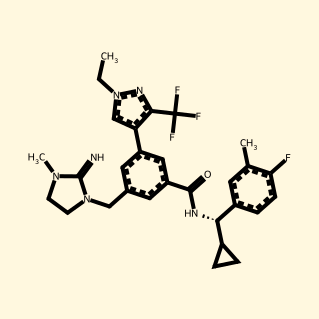 CCn1cc(-c2cc(CN3CCN(C)C3=N)cc(C(=O)N[C@H](c3ccc(F)c(C)c3)C3CC3)c2)c(C(F)(F)F)n1